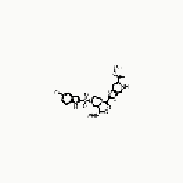 CNC(=O)C1CN(S(=O)(=O)c2cc3cc(Cl)ccc3[nH]2)CCN1C(=O)c1nc2c(s1)CNC(C(=O)OC(C)(C)C)C2